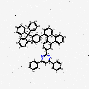 c1ccc(-c2cc(-c3ccccc3)nc(-c3ccc4c(c3)c3ccccc3c3cccc(-c5ccc6c(c5)C(c5ccccc5)(c5ccccc5)c5ccccc5-6)c34)n2)cc1